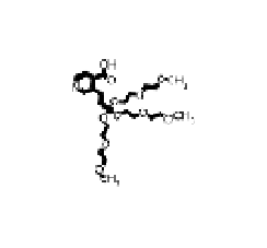 COCCOCCOC(CCc1cnccc1C(=O)O)(OCCOCCOC)OCCOCCOC